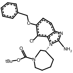 CC(C)(C)OC(=O)N1CCCC[C@@H](n2c(N)nc3ccc(OCc4ccccc4)c(Cl)c32)C1